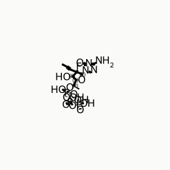 CC#CC1(F)[C@@H](O)[C@@H]([C@@H](C)OP(=O)(O)OP(=O)(O)OP(=O)(O)O)O[C@H]1n1cnc(N)nc1=O